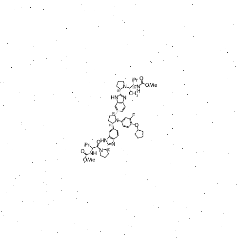 COC(=O)NC(C(=O)N1CCC[C@H]1c1nc2ccc([C@H]3CC[C@H](c4ccc5nc([C@@H]6CCCN6C(C)[C@@H](NC(=O)OC)C(C)C)[nH]c5c4)N3c3ccc(OC4CCCC4)c(F)c3)cc2[nH]1)C(C)C